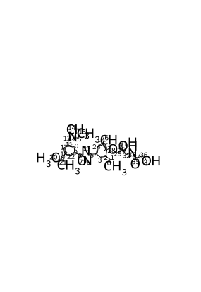 CCc1cc(-c2noc(-c3cc(CN(C)CC)cc(C(C)C)c3)n2)cc(C)c1OCC(O)CNC(=O)CO